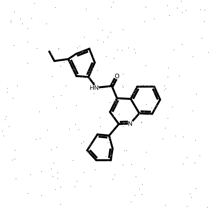 CCc1cccc(NC(=O)c2cc(-c3ccccc3)nc3ccccc23)c1